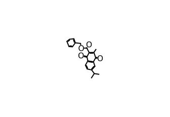 CC1=C(C(=O)OCc2ccccc2)C(=O)c2ccc(C(C)C)cc2C1=O